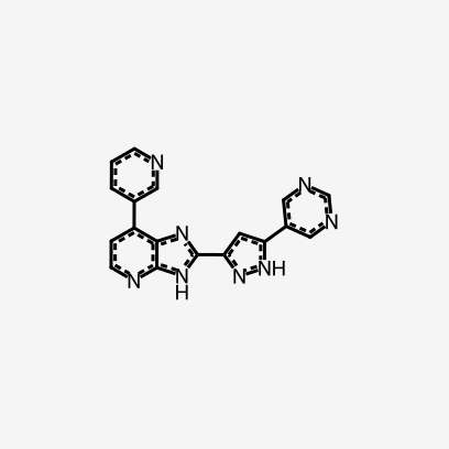 c1cncc(-c2ccnc3[nH]c(-c4cc(-c5cncnc5)[nH]n4)nc23)c1